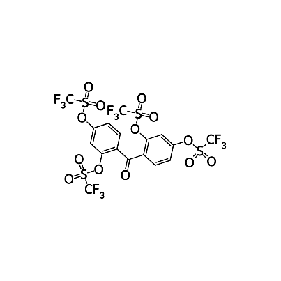 O=C(c1ccc(OS(=O)(=O)C(F)(F)F)cc1OS(=O)(=O)C(F)(F)F)c1ccc(OS(=O)(=O)C(F)(F)F)cc1OS(=O)(=O)C(F)(F)F